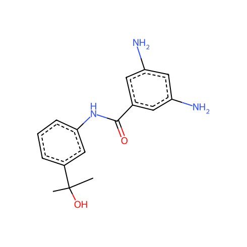 CC(C)(O)c1cccc(NC(=O)c2cc(N)cc(N)c2)c1